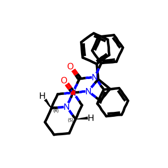 O=C(N1C[C@H]2CCC[C@@H](C1)N2C(=O)N1CCC1c1ccccc1)N(c1ccccc1)c1ccccc1